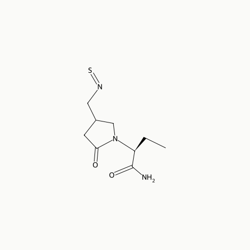 CC[C@@H](C(N)=O)N1CC(CN=S)CC1=O